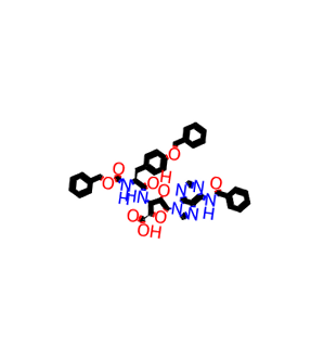 O=C(N[C@@H](Cc1ccc(OCc2ccccc2)cc1)C(=O)N[C@H]1[C@@H](O)[C@H](n2cnc3c(NC(=O)c4ccccc4)ncnc32)O[C@@H]1C(=O)O)OCc1ccccc1